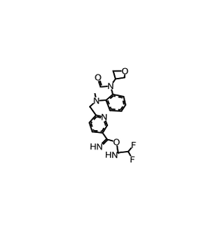 CN(Cc1ccc(C(=N)OC(=N)C(F)F)cn1)c1ccccc1N(C=O)C1COC1